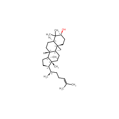 CC(C)=CCC[C@@H](C)[C@H]1CC[C@@]2(C)[C@@H]3CC[C@H]4C(C)(C)[C@@H](O)CC[C@]45C[C@]35CC[C@]12C